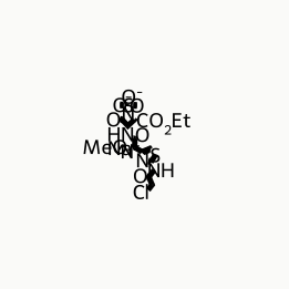 CCOC(=O)[C@@H]1[C@H](NC(=O)C(=NOC)c2csc(NC(=O)CCl)n2)C(=O)N1S(=O)(=O)[O-].[Na+]